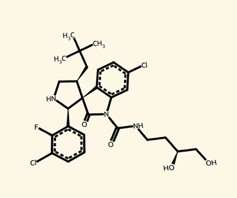 CC(C)(C)C[C@@H]1CN[C@H](c2cccc(Cl)c2F)[C@@]12C(=O)N(C(=O)NCC[C@H](O)CO)c1cc(Cl)ccc12